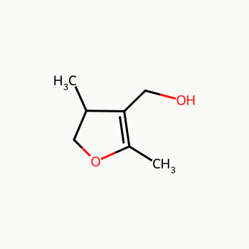 CC1=C(CO)C(C)CO1